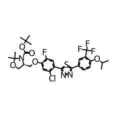 CC(C)Oc1ccc(-c2nnc(-c3cc(F)c(OC[C@H]4COC(C)(C)N4C(=O)OC(C)(C)C)cc3Cl)s2)cc1C(F)(F)F